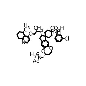 CC(=O)N(C)C[C@H]1CCOc2cc3c(cc2O1)C[C@H](C[C@@H](C)COc1ccnc2c1[C@H](C)CCC2)C31CCC(Nc2cccc(Cl)c2)(C(=O)O)CC1